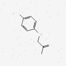 CC(=O)CNc1ccc(O)cc1